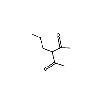 CCC[C](C(C)=O)C(C)=O